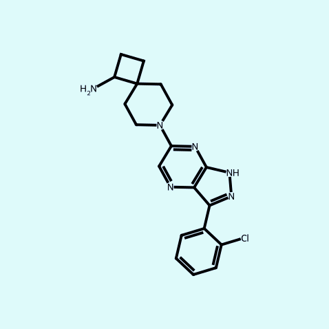 NC1CCC12CCN(c1cnc3c(-c4ccccc4Cl)n[nH]c3n1)CC2